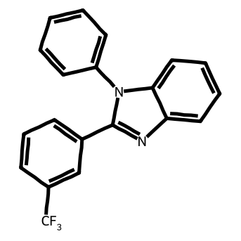 FC(F)(F)c1cccc(-c2nc3ccccc3n2-c2ccccc2)c1